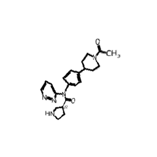 CC(=O)N1CCC(c2ccc(N(C(=O)[C@H]3CCNC3)c3cccnn3)cc2)CC1